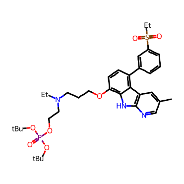 CCN(CCCOc1ccc(-c2cccc(S(=O)(=O)CC)c2)c2c1[nH]c1ncc(C)cc12)CCOP(=O)(OC(C)(C)C)OC(C)(C)C